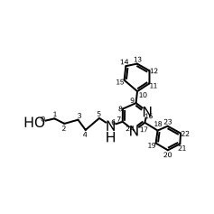 OCCCCCNc1cc(-c2ccccc2)nc(-c2ccccc2)n1